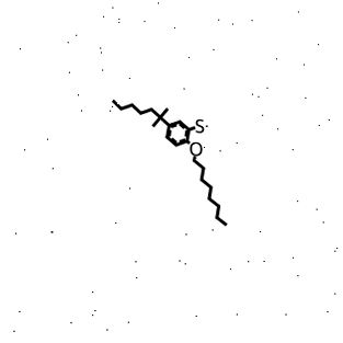 CCCCCCCCOc1ccc(C(C)(C)CCCCC)cc1[S]